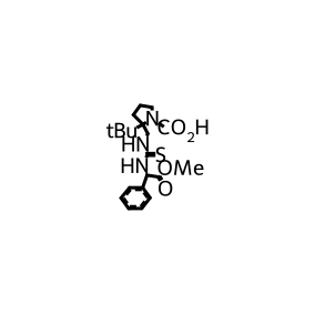 COC(=O)[C@@H](NC(=S)NCC1(C(C)(C)C)CCCN1C(=O)O)c1ccccc1